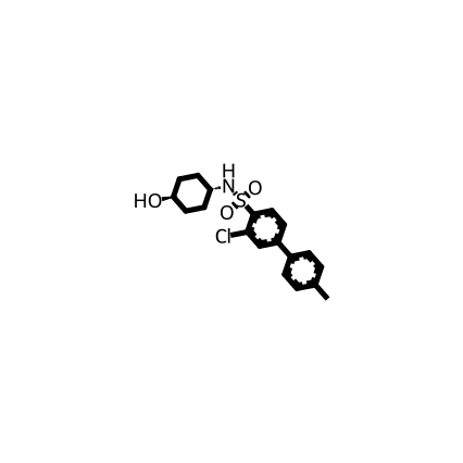 Cc1ccc(-c2ccc(S(=O)(=O)N[C@H]3CC[C@H](O)CC3)c(Cl)c2)cc1